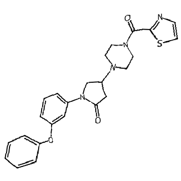 O=C(c1nccs1)N1CCN(C2CC(=O)N(c3cccc(Oc4ccccc4)c3)C2)CC1